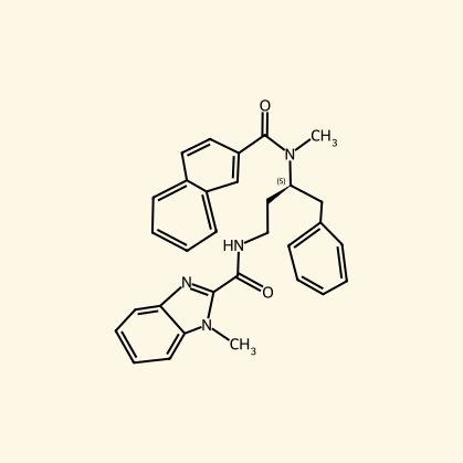 CN(C(=O)c1ccc2ccccc2c1)[C@H](CCNC(=O)c1nc2ccccc2n1C)Cc1ccccc1